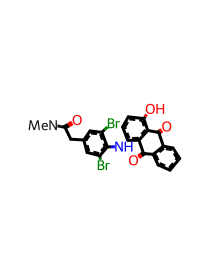 CNC(=O)Cc1cc(Br)c(Nc2ccc(O)c3c2C(=O)c2ccccc2C3=O)c(Br)c1